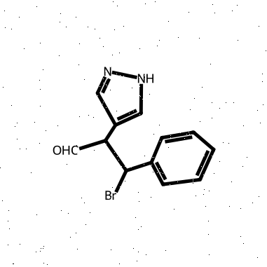 O=CC(c1cn[nH]c1)C(Br)c1ccccc1